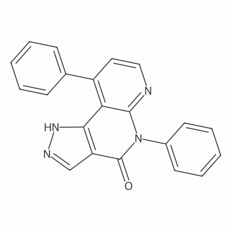 O=c1c2cn[nH]c2c2c(-c3ccccc3)ccnc2n1-c1ccccc1